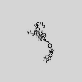 COc1ccc(NC(=S)NC(=O)NCCCc2ccc(-c3ncn(-c4ccc(OC(F)(F)F)cc4)n3)cc2)c(C)c1